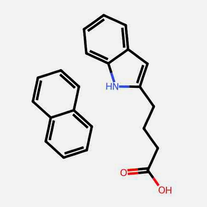 O=C(O)CCCc1cc2ccccc2[nH]1.c1ccc2ccccc2c1